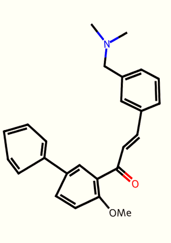 COc1ccc(-c2ccccc2)cc1C(=O)/C=C/c1cccc(CN(C)C)c1